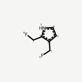 FCc1cc[nH]c1CF